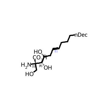 CCCCCCCCCCCCC/C=C/C[C@@H](O)[C@H](O)[C@@](N)(CO)C(=O)O